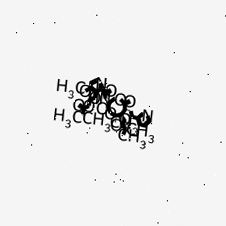 COc1ccnc(C(=O)N[C@H]2COC(=O)[C@H](CCc3cccnc3)[C@@H](OC(=O)C(C)C)[C@H](C)OC2=O)c1OCOC(=O)C(C)C